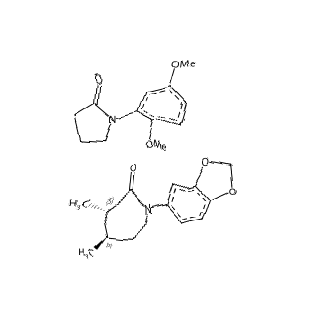 COc1ccc(OC)c(N2CCCC2=O)c1.C[C@@H]1CN(c2ccc3c(c2)OCO3)C(=O)[C@H]1C